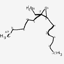 CCCCCC1OC1(N)CCCCC